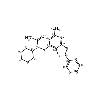 CC(=O)N(Cc1nc(C)nc2sc(-c3ccccc3)cc12)C1CCCCC1